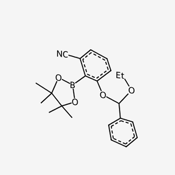 CCOC(Oc1cccc(C#N)c1B1OC(C)(C)C(C)(C)O1)c1ccccc1